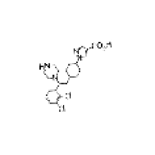 O=C(O)c1cnn(C2CCC(CC(c3cccc(Cl)c3Cl)N3CCNCC3)CC2)c1